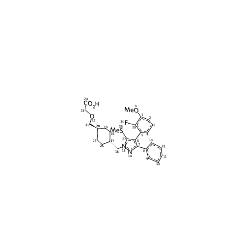 COc1cccc(-c2c(-c3ccccc3)nn(C[C@H]3CC[C@H](COCC(=O)O)CC3)c2SC)c1F